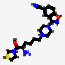 N#Cc1ccc2onc(N3CCN(CCCC[C@H](N)C(=O)N4CCSC4)CC3)c2c1